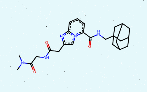 CN(C)C(=O)CNC(=O)Cc1cn2c(C(=O)NCC34CC5CC(CC(C5)C3)C4)cccc2n1